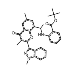 Cc1cc(C(C)Nc2ccccc2C(=O)OC(C)(C)C)c2oc(-c3nn(C)c4ccccc34)c(C)c(=O)c2c1